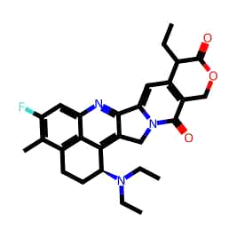 CCC1C(=O)OCc2c1cc1n(c2=O)Cc2c-1nc1cc(F)c(C)c3c1c2[C@@H](N(CC)CC)CC3